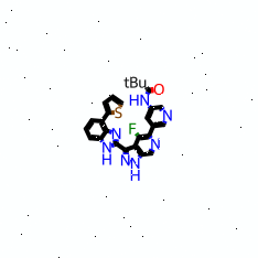 CC(C)(C)C(=O)Nc1cncc(-c2ncc3[nH]nc(-c4nc5c(-c6cccs6)cccc5[nH]4)c3c2F)c1